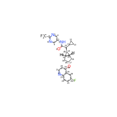 O=C(Nc1cnc(C(F)(F)F)nc1)C(C1CC1)[C@H]1[C@@H]2C[C@H](Oc3ccnc4ccc(F)cc34)C[C@@H]21